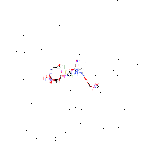 COc1cc2cc(c1Cl)N(C)C(=O)C[C@H](OC(=O)Nc1cc(F)c(NC(=O)[C@H](CCCNC(N)=O)NC(=O)[C@@H](NC(=S)NCCOCCOCCC(=O)ON3C(=O)CCC3=O)C(C)C)cc1F)[C@]1(C)O[C@H]1[C@H](C)[C@@H]1C[C@@](O)(NC(=O)O1)[C@H](OC)/C=C/C=C(\C)C2